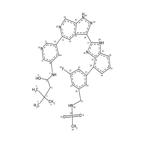 CC(C)(C)CC(O)Nc1cncc(-c2cc3c(-c4nc5c(-c6cc(F)cc(CNS(C)(=O)=O)c6)cccc5[nH]4)n[nH]c3cn2)c1